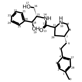 Cc1ccc(CC[C@H]2CCNC(C(=O)N[C@@H](CO)[C@@H](O)c3ccccc3)C2)cc1